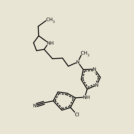 CCC1CCC(CCCN(C)c2cc(Nc3ccc(C#N)cc3Cl)ncn2)N1